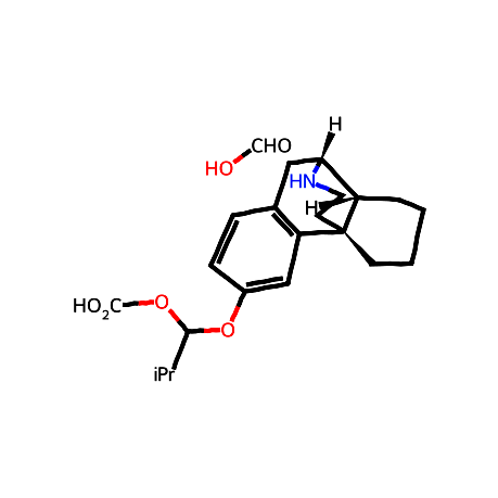 CC(C)C(OC(=O)O)Oc1ccc2c(c1)[C@@]13CCCC[C@H]1[C@@H](C2)NCC3.O=CO